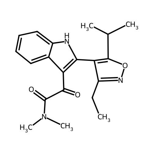 CCc1noc(C(C)C)c1-c1[nH]c2ccccc2c1C(=O)C(=O)N(C)C